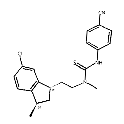 C[C@@H]1C[C@@H](CCN(C)C(=S)Nc2ccc(C#N)cc2)c2cc(Cl)ccc21